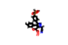 Cc1ccc(-c2c(-c3ccc(S(C)(=O)=O)cc3)nn(CC#N)c2C(=O)O)cc1